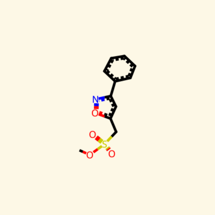 COS(=O)(=O)Cc1cc(-c2ccccc2)no1